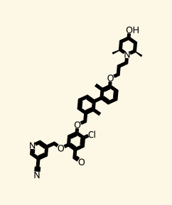 Cc1c(COc2cc(OCc3cncc(C#N)c3)c(C=O)cc2Cl)cccc1-c1cccc(OCCCN2[C@H](C)CC(O)C[C@@H]2C)c1C